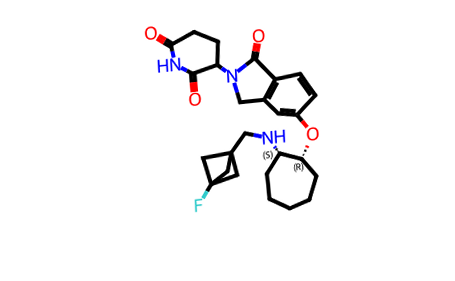 O=C1CCC(N2Cc3cc(O[C@@H]4CCCCC[C@@H]4NCC45CC(F)(C4)C5)ccc3C2=O)C(=O)N1